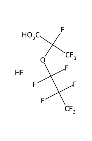 F.O=C(O)C(F)(OC(F)(F)C(F)(F)C(F)(F)F)C(F)(F)F